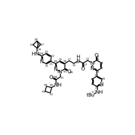 CC(C)(C)Nc1ccc(-c2ccc(=O)n(CC(=O)NCCc3cc(-c4ccc(NC56CC(C5)C6)nc4)nn(CC(=O)NC4CCC4)c3=O)n2)cn1